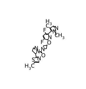 Cc1cnc(C2CC=NN2C(=O)N2CC(Oc3nc(-c4c(C)cnn4C)c(F)cc3F)C2)s1